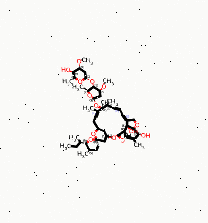 CCC(C)[C@H]1O[C@]2(CC[C@@H]1C)C[C@@H]1CC(C/C=C(\C)[C@@](C)(O[C@H]3C[C@H](OC)[C@@H](O[C@H]4C[C@@H](OC)[C@H](O)[C@@H](C)O4)[C@H](C)O3)[C@@H](C)/C=C/C=C3\CO[C@@H]4[C@H](O)C(C)=C[C@@H](C(=O)O1)[C@]34O)O2